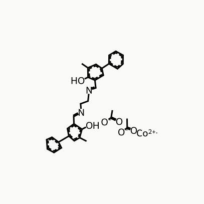 CC(=O)[O-].CC(=O)[O-].Cc1cc(-c2ccccc2)cc(C=NCCN=Cc2cc(-c3ccccc3)cc(C)c2O)c1O.[Co+2]